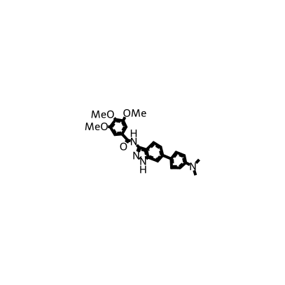 COc1cc(C(=O)Nc2n[nH]c3cc(-c4ccc(N(C)C)cc4)ccc23)cc(OC)c1OC